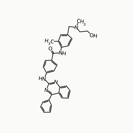 Cc1cc(CN(C)CCO)ccc1NC(=O)c1ccc(Nc2nc(-c3ccccc3)c3ccccc3n2)cc1